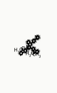 CC1(C)c2ccccc2-c2ccc(-c3cc(-c4ccc5c(c4)C(C)(C)c4ccccc4-5)c4cc(-c5ccc(-c6ccccn6)cc5)c5ccccc5c4n3)cc21